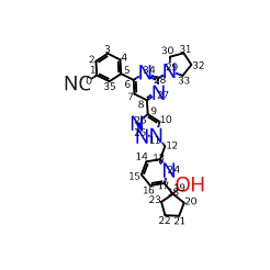 N#Cc1cccc(-c2cc(-c3cn(Cc4cccc(C5(O)CCCC5)n4)nn3)nc(N3CCCC3)n2)c1